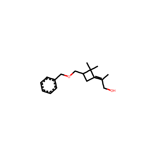 C/C(CO)=C1/CC(COCc2ccccc2)C1(C)C